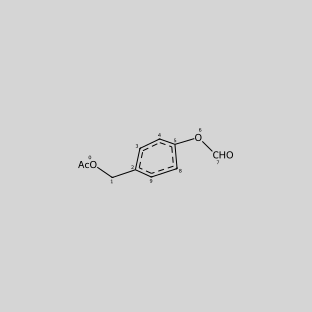 CC(=O)OCc1ccc(OC=O)cc1